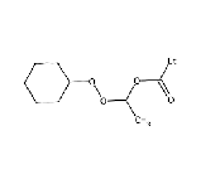 CCC(=O)OC(C)OOC1CCCCC1